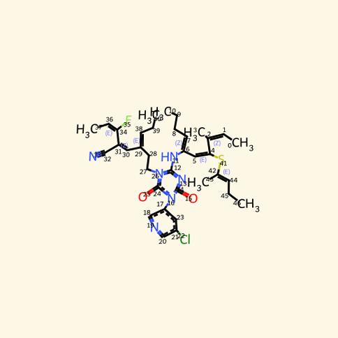 C\C=C(C)/C(=C\C(=C\CCC)Nc1nc(=O)n(-c2cncc(Cl)c2)c(=O)n1CCC(/C=C(C#N)\C(F)=C/C)=C\CC)S/C(C)=C/CC